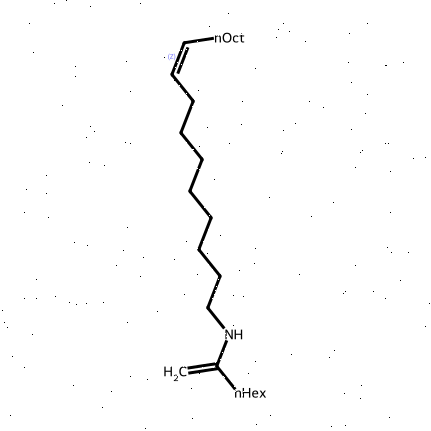 C=C(CCCCCC)NCCCCCCCC/C=C\CCCCCCCC